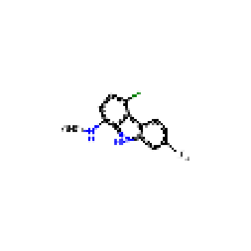 O=CNc1ccc(F)c2c1[nH]c1cc(C(F)(F)F)ccc12